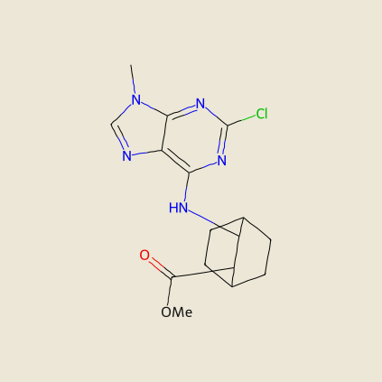 COC(=O)C1C2CCC(CC2)C1Nc1nc(Cl)nc2c1ncn2C